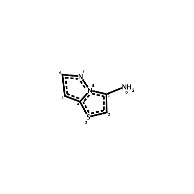 Nc1csc2ccnn12